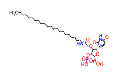 CCCCCCCCCCCCCCCCCCCCCCNC(=O)CO[C@@H]1[C@H](OP(=O)(O)O)[C@@H](CO)O[C@H]1n1ccc(=O)[nH]c1=O